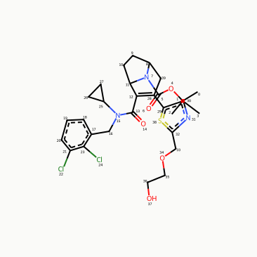 CC(C)(C)OC(=O)N1C2CCC1C(C(=O)N(Cc1cccc(Cl)c1Cl)C1CC1)=C(c1cnc(COCCO)s1)C2